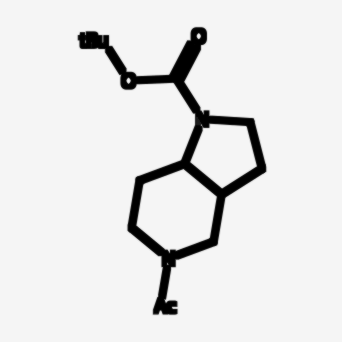 CC(=O)N1CCC2C(CCN2C(=O)OC(C)(C)C)C1